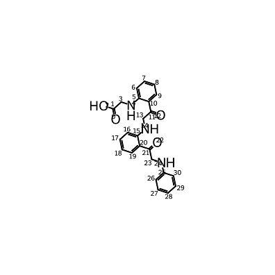 O=C(O)CNc1ccccc1C(=O)CNc1ccccc1C(=O)CNc1ccccc1